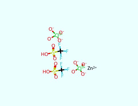 O=S(=O)(O)C(F)(F)F.O=S(=O)(O)C(F)(F)F.[O-][Cl+3]([O-])([O-])[O-].[O-][Cl+3]([O-])([O-])[O-].[Zn+2]